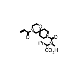 C=CC(=O)N1CCOC2(CCN(C(=O)N(C)[C@H](C(=O)O)C(C)C)CC2)C1